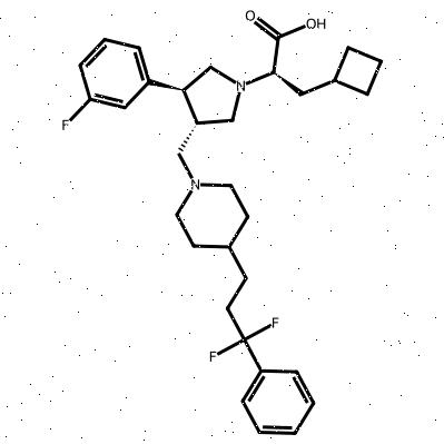 O=C(O)[C@@H](CC1CCC1)N1C[C@H](CN2CCC(CCC(F)(F)c3ccccc3)CC2)[C@@H](c2cccc(F)c2)C1